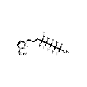 CCCCCCCCCCN1[C+]N(CCCC(F)(F)C(F)(F)C(F)(F)C(F)(F)C(F)(F)C(F)(F)F)C=C1.[I-]